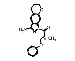 C[C@H](COc1ccccc1)C(=O)n1nc(N)c2cc3c(cc21)OCCC3